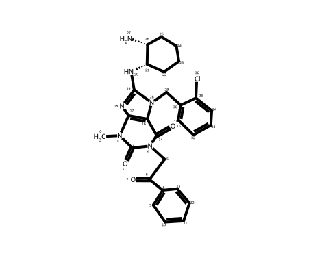 Cn1c(=O)n(CC(=O)c2ccccc2)c(=O)c2c1nc(N[C@H]1CCCC[C@H]1N)n2Cc1ccccc1Cl